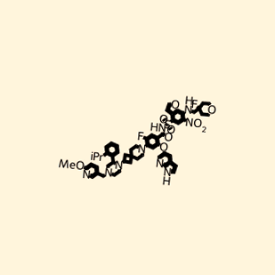 COc1ccc(CN2CCN(C3CC4(CCN(c5cc(Oc6cnc7[nH]ccc7c6)c(C(=O)NS(=O)(=O)c6cc([N+](=O)[O-])c(NCC7(F)CCOCC7)c7occc67)cc5F)CC4)C3)C(c3ccccc3C(C)C)C2)cn1